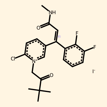 CNC(=O)/C=C(\c1ccc(Cl)[n+](CC(=O)C(C)(C)C)c1)c1cccc(F)c1F.[I-]